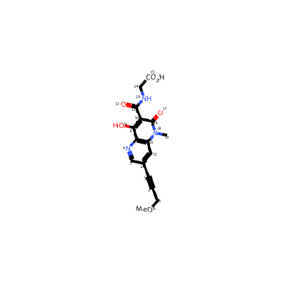 COCC#Cc1cnc2c(O)c(C(=O)NCC(=O)O)c(=O)n(C)c2c1